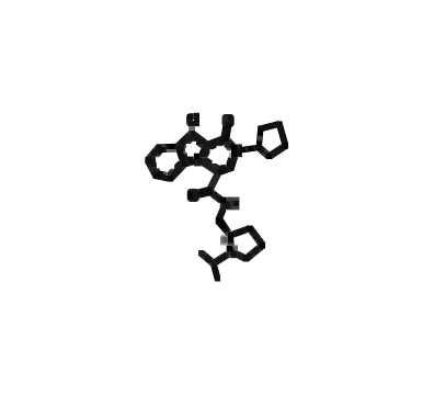 CC(C)N1CCC[C@@H]1CNC(=O)c1cn(C2CCCC2)c(=O)c2c(Cl)c3ccccc3n12